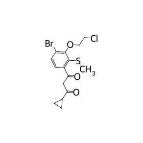 CSc1c(C(=O)CC(=O)C2CC2)ccc(Br)c1OCCCl